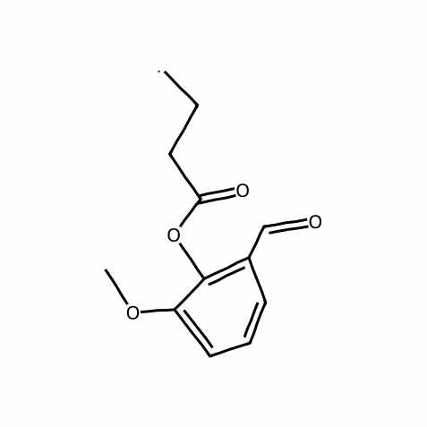 [CH2]CCC(=O)Oc1c(C=O)cccc1OC